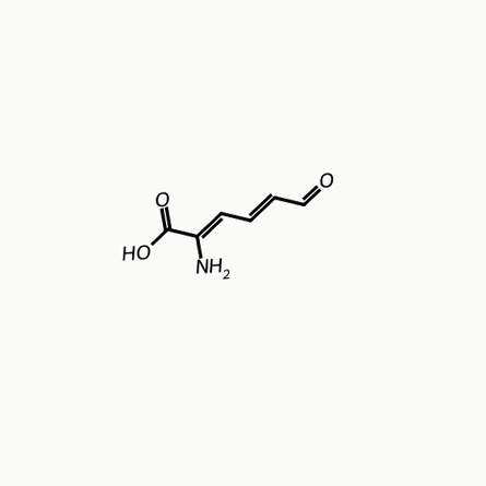 N/C(=C\C=C\C=O)C(=O)O